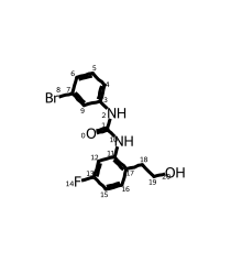 O=C(Nc1cccc(Br)c1)Nc1cc(F)ccc1CCO